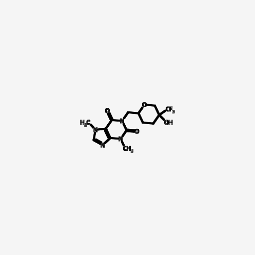 Cn1cnc2c1c(=O)n(CC1CCC(O)(C(F)(F)F)CO1)c(=O)n2C